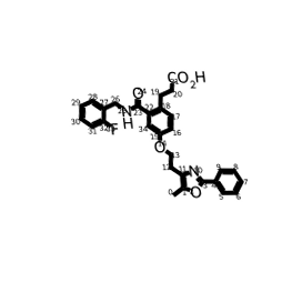 Cc1oc(-c2ccccc2)nc1CCOc1ccc(CCC(=O)O)c(C(=O)NCc2ccccc2F)c1